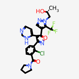 C[C@@H](O)Cn1ncc(-c2onc(-c3cccc(C(=O)N4CCCC4)c3Cl)c2C2=CC=NCN2)c1C(F)(F)F